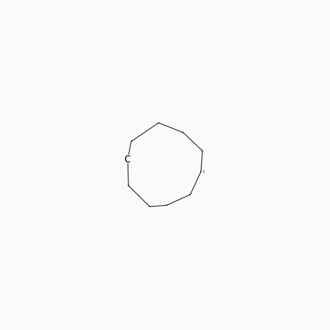 [C]1CCCCCCCCC1